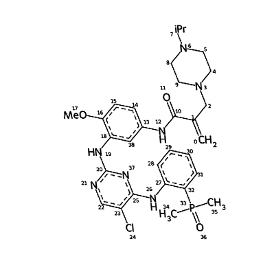 C=C(CN1CCN(C(C)C)CC1)C(=O)Nc1ccc(OC)c(Nc2ncc(Cl)c(Nc3ccccc3P(C)(C)=O)n2)c1